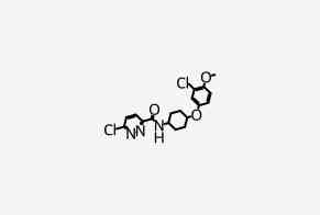 COc1ccc(OC2CCC(NC(=O)c3ccc(Cl)nn3)CC2)cc1Cl